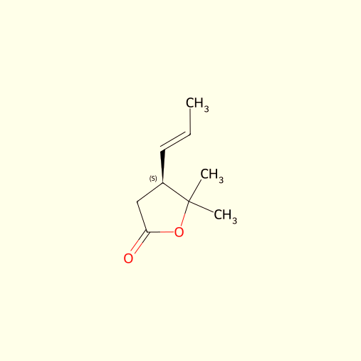 CC=C[C@@H]1CC(=O)OC1(C)C